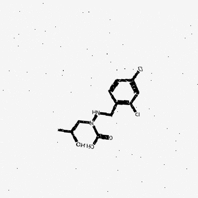 CC(O)CN(NCc1ccc(Cl)cc1Cl)C(=O)O